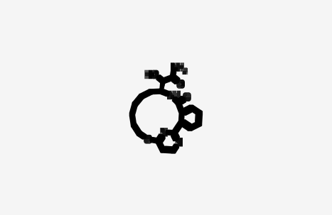 NC(=O)C(O)[C@@H]1CCCCCCOc2ccnc(n2)-c2ccccc2C(=O)N1